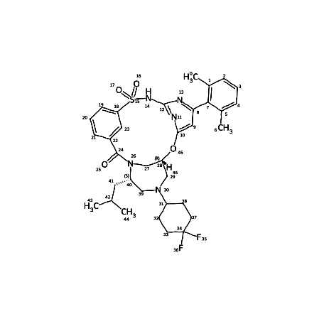 Cc1cccc(C)c1-c1cc2nc(n1)NS(=O)(=O)c1cccc(c1)C(=O)N1C[C@@H](CN(C3CCC(F)(F)CC3)C[C@@H]1CC(C)C)O2